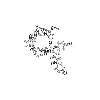 CCc1ccc(NC(=O)N[C@@H](Cc2cccc(C)c2)C(=O)N[C@H]2CO/C=C3/C[C@@H](C)CN3C(=O)[C@H](C)NC(=O)[C@@H]3CCCCN3C(=O)[C@@H]3CCCN3C2=O)cc1